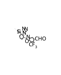 Cn1cnnc1[Si@]1(c2cccc(-c3nc4cc(C=O)cc(C(F)(F)F)c4o3)c2)C[C@H](C)C1